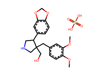 COc1ccc(CC2(CO)CNCC2c2ccc3c(c2)OCO3)cc1OC.O=S(=O)(O)O